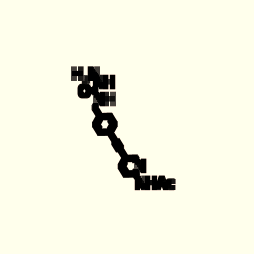 CC(=O)Nc1ccc(C#Cc2ccc(CNC(=O)NN)cc2)cn1